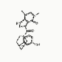 Cc1cn(C)c(=O)c2c(C(=O)N3CCC4(c5cccc(O)c5)CC4C3)c[nH]c12